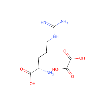 N=C(N)NCCC[C@H](N)C(=O)O.O=C(O)C(=O)O